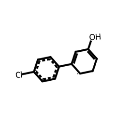 OC1=CC[CH]C(c2ccc(Cl)cc2)=C1